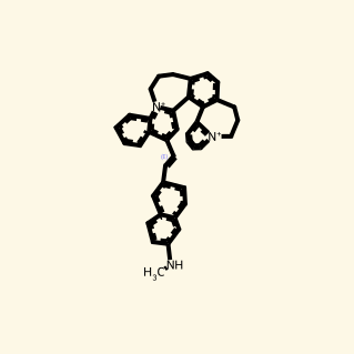 CNc1ccc2cc(/C=C/c3cc4[n+](c5ccccc35)CCCc3ccc5c(c3-4)-c3cccc[n+]3CCC5)ccc2c1